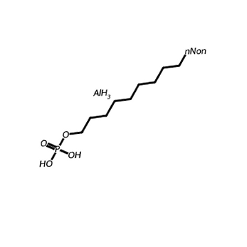 CCCCCCCCCCCCCCCCCCOP(=O)(O)O.[AlH3]